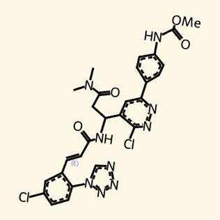 COC(=O)Nc1ccc(-c2cc(C(CC(=O)N(C)C)NC(=O)/C=C/c3cc(Cl)ccc3-n3cnnn3)c(Cl)nn2)cc1